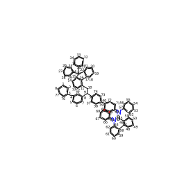 c1ccc(-c2cccc(C(Cc3cccc4c3-c3ccccc3C4(c3ccccc3)c3ccccc3)c3ccc(-c4ccc(N5B6c7c(cccc7-c7ccccc75)-c5ccccc5N6c5ccccc5)cc4)cc3)c2)cc1